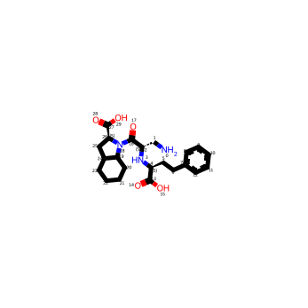 NC[C@H](N[C@@H](CCc1ccccc1)C(=O)O)C(=O)N1C2CCCCC2C[C@H]1C(=O)O